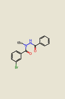 CC(C)(C)N(NC(=O)c1ccccc1)C(=O)c1cccc(Br)c1